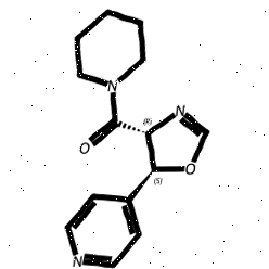 O=C([C@@H]1N=CO[C@H]1c1ccncc1)N1CCCCC1